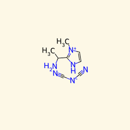 CC(N)c1[nH]cc[n+]1C.N#C[N-]C#N